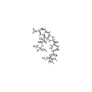 CC(C)(F)CNS(=O)(=O)c1c2c(cc3cnc(C4CC4)cc13)C[C@@H](Nc1ccc(C(=O)OC(C)(C)C)nc1)C2